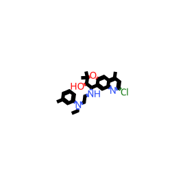 CCN(CCNC1c2cc3nc(Cl)cc(C)c3cc2OC(C)(C)C1O)c1cccc(C)c1